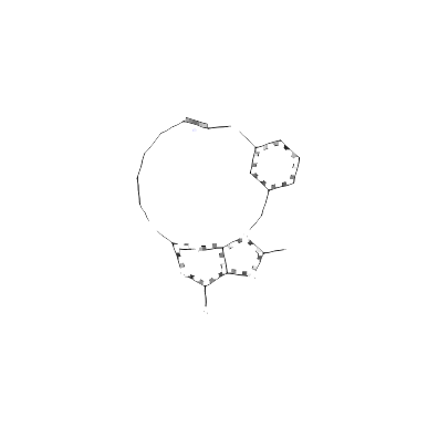 Nc1nc2nc3c1nc(O)n3Cc1cccc(c1)O/C=C/CCCCO2